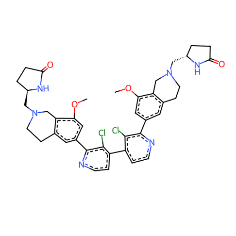 COc1cc(-c2nccc(-c3ccnc(-c4cc5c(c(OC)c4)CN(C[C@@H]4CCC(=O)N4)CC5)c3Cl)c2Cl)cc2c1CN(C[C@H]1CCC(=O)N1)CC2